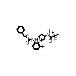 O=C(Nc1cccc(F)c1N1CCC(NC(=O)C(F)(F)F)C1)OCc1ccccc1